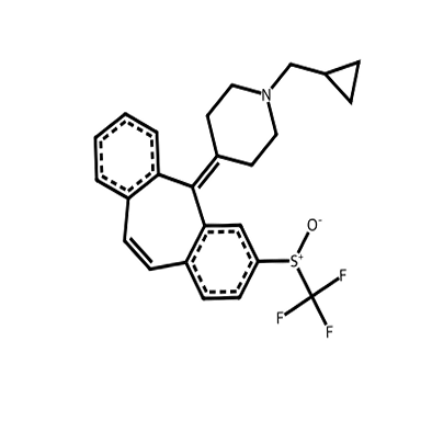 [O-][S+](c1ccc2c(c1)C(=C1CCN(CC3CC3)CC1)c1ccccc1C=C2)C(F)(F)F